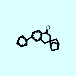 O=C1CC2(CC3=CCC2C3)Cc2cc(-c3ccccc3)ccc21